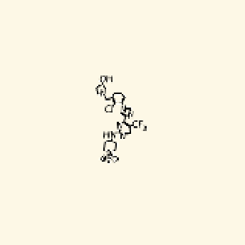 CS(=O)(=O)N1CCC(Nc2ncc(C(F)(F)F)c(-c3cn(-c4cccc(CN5CCC(O)C5)c4Cl)cn3)n2)CC1